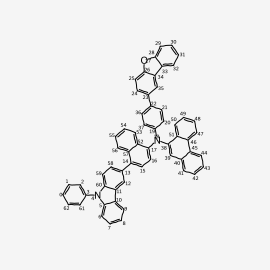 c1ccc(-n2c3ccccc3c3cc(-c4ccc(N(c5ccc(-c6ccc7oc8ccccc8c7c6)cc5)c5cc6ccccc6c6ccccc56)c5ccccc45)ccc32)cc1